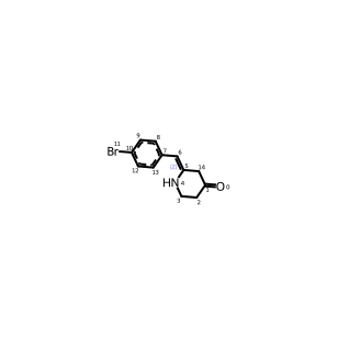 O=C1CCN/C(=C\c2ccc(Br)cc2)C1